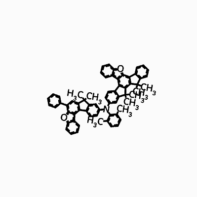 Cc1cccc(C)c1N(c1ccc2c(c1)C(C)(C)c1cc(-c3ccccc3)c3oc4ccccc4c3c1-2)c1ccc2c(c1)C(C)(C)c1c3c(c4oc5ccccc5c4c1-2)-c1ccccc1C3(C)C